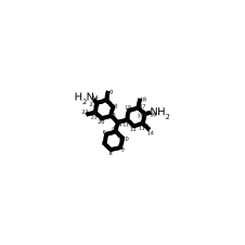 CC1CC(C(C2CCCCC2)C2CC(C)C(N)C(C)C2)CC(C)C1N